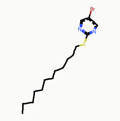 CCCCCCCCCCCCSc1ncc(Br)cn1